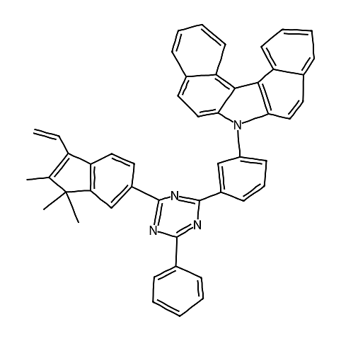 C=CC1=C(C)C(C)(C)c2cc(-c3nc(-c4ccccc4)nc(-c4cccc(-n5c6ccc7ccccc7c6c6c7ccccc7ccc65)c4)n3)ccc21